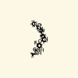 O=C(Nc1ccc(Oc2ccnc3cc(-c4cn(CC(=O)N5CCCC5)nn4)sc23)c(F)c1)NC1CC1